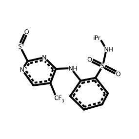 CC(C)NS(=O)(=O)c1ccccc1Nc1nc([S+]=O)ncc1C(F)(F)F